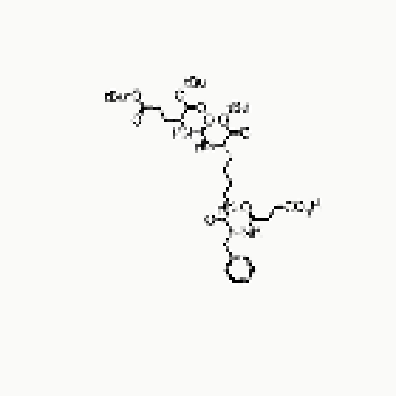 CC(C)(C)OC(=O)CC[C@H](NC(=O)N[C@@H](CCCCNC(=O)[C@H](Cc1ccccc1)NC(=O)CCC(=O)O)C(=O)OC(C)(C)C)C(=O)OC(C)(C)C